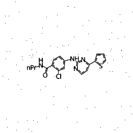 CCCNC(=O)c1ccc(Nc2nccc(-c3cccs3)n2)cc1Cl